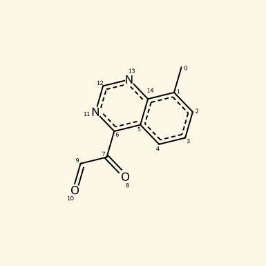 Cc1cccc2c(C(=O)C=O)ncnc12